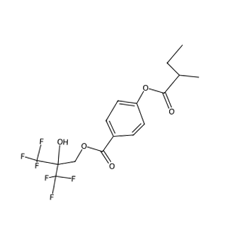 CCC(C)C(=O)Oc1ccc(C(=O)OCC(O)(C(F)(F)F)C(F)(F)F)cc1